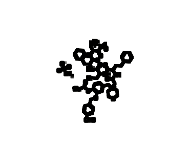 CC(C)CC(NC(=O)C(CCc1ccccc1)NC(=O)C[N+]1(Cc2ccc(OC(=O)C(C)(C)C)c(OCc3ccc(C=O)cc3)c2)CCOCC1)C(=O)NC(Cc1ccccc1)C(=O)NC(CC(C)C)C(=O)[C@@]1(C)CO1.CS(=O)(=O)[O-]